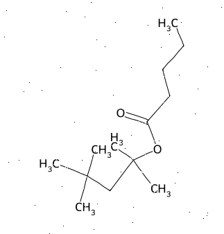 CCCCC(=O)OC(C)(C)CC(C)(C)C